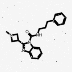 CN1CC(c2nc3ccccc3n2C(=O)NCCCc2ccccc2)C1